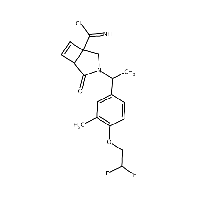 Cc1cc(C(C)N2CC3(C(=N)Cl)C=CC3C2=O)ccc1OCC(F)F